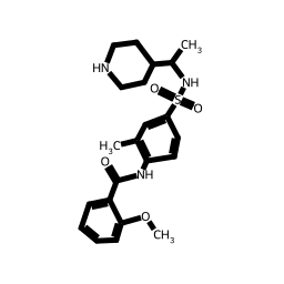 COc1ccccc1C(=O)Nc1ccc(S(=O)(=O)NC(C)C2CCNCC2)cc1C